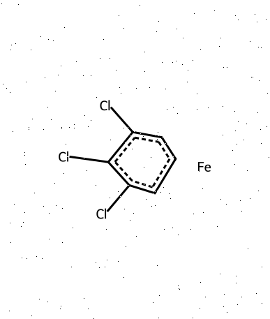 Clc1cccc(Cl)c1Cl.[Fe]